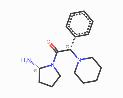 N[C@H]1CCCN1C(=O)[C@H](c1ccccc1)N1CCCCC1